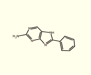 Nc1ncc2[nH]c(-c3ccccc3)nc2n1